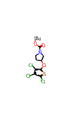 CC(C)(C)OC(=O)N1CCC(Oc2sc(Cl)c(Cl)c2Cl)C1